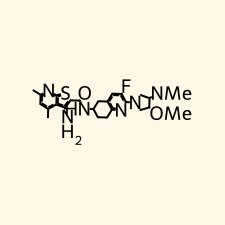 CNC1CN(c2nc3c(cc2F)CC(NC(=O)c2sc4nc(C)cc(C)c4c2N)CC3)CC1OC